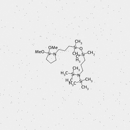 CO[Si]1(OC)CCCN1CCC[Si](C)(C)O[Si](C)(C)CCCN([Si](C)(C)C)[Si](C)(C)C